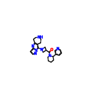 O=C(C1CN(c2c3c(nc4ccnn24)CCNCC3)C1)N1CCCCC1c1cccnc1